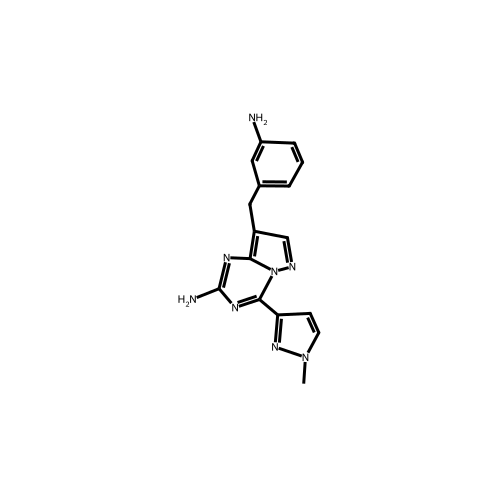 Cn1ccc(-c2nc(N)nc3c(Cc4cccc(N)c4)cnn23)n1